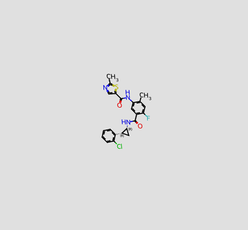 Cc1ncc(C(=O)Nc2cc(C(=O)N[C@@H]3C[C@@H]3c3ccccc3Cl)c(F)cc2C)s1